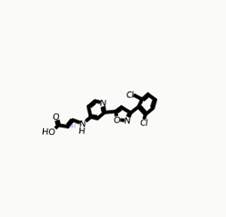 O=C(O)/C=C/Nc1ccnc(-c2cc(-c3c(Cl)cccc3Cl)no2)c1